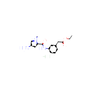 CCOC(=O)Cc1cccc(NC(=O)c2cc(N)cn2C)c1.Cl